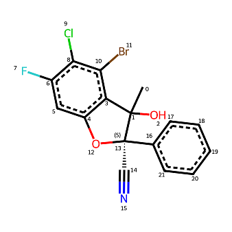 CC1(O)c2c(cc(F)c(Cl)c2Br)O[C@]1(C#N)c1ccccc1